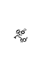 COc1cccc(-c2nccnc2C(=O)N(CCC2=CN=C3CC=C(F)C=C23)CC2CC2)c1